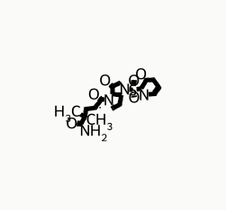 CC(C)(C[CH]C(=O)N1CCC2C1C(=O)CN2S(=O)(=O)C1=NC=CCC1=O)C(N)=O